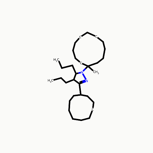 CCCC1C(C2CCCCCCCCC2)=NN(C2(C)CCCCCCCCCCC2)C1CCC